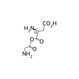 NCC(=O)OC(=O)[C@@H](N)CC(=O)O